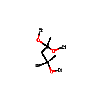 CCO[Si](C)(CC)C[Si](C)(OCC)OCC